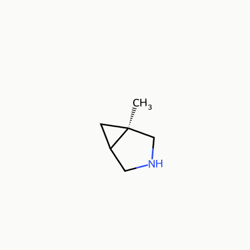 C[C@]12CNCC1C2